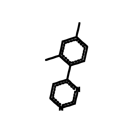 Cc1ccc(-c2ccncn2)c(C)c1